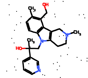 Cc1ccc2c(c1CO)c1c(n2CC(C)(O)c2cccnc2)CCN(C)C1